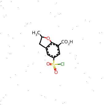 CC1Cc2cc(S(=O)(=O)Cl)cc(C(=O)O)c2O1